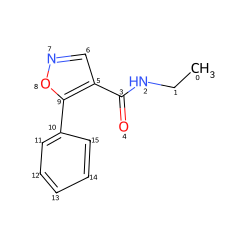 CCNC(=O)c1cnoc1-c1ccccc1